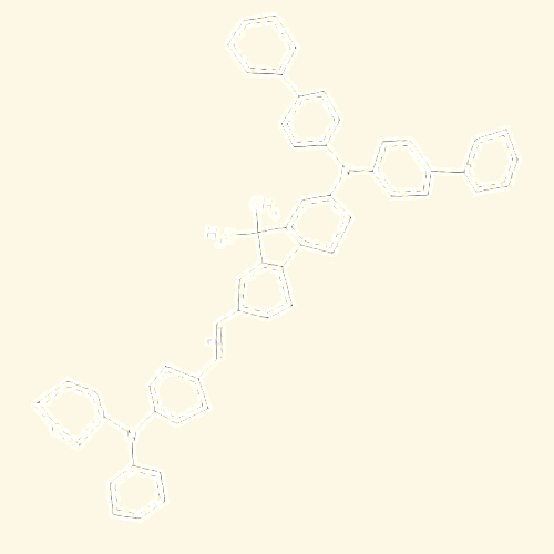 CC1(C)c2cc(/C=C/c3ccc(N(c4ccccc4)c4ccccc4)cc3)ccc2-c2ccc(N(c3ccc(-c4ccccc4)cc3)c3ccc(-c4ccccc4)cc3)cc21